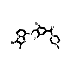 Cc1nc2c(OCc3c(Br)cc(C(=O)N4CCN(C)CC4)cc3Br)cccn2c1Br